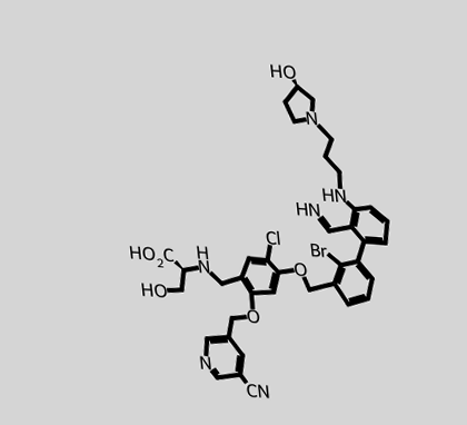 N#Cc1cncc(COc2cc(OCc3cccc(-c4cccc(NCCCN5CC[C@@H](O)C5)c4C=N)c3Br)c(Cl)cc2CN[C@@H](CO)C(=O)O)c1